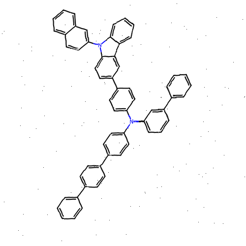 c1ccc(-c2ccc(-c3ccc(N(c4ccc(-c5ccc6c(c5)c5ccccc5n6-c5ccc6ccccc6c5)cc4)c4cccc(-c5ccccc5)c4)cc3)cc2)cc1